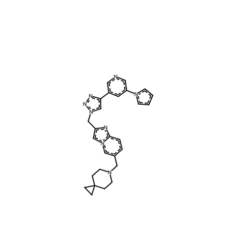 c1ccn(-c2cncc(-c3cn(Cc4cn5cc(CN6CCC7(CC6)CC7)ccc5n4)nn3)c2)c1